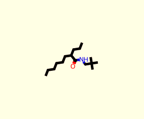 CCCCCCC(CCC)C(=O)NCC(C)(C)C